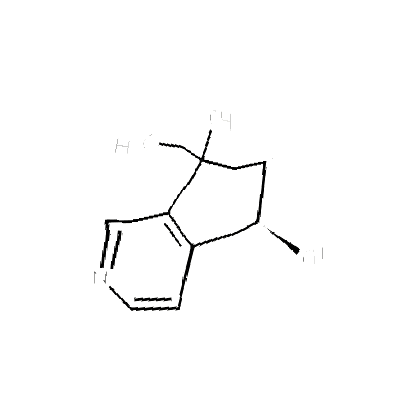 C[C@@H]1CC(C)(C)c2cnccc21